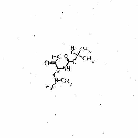 CN(C)C[C@H](NC(=O)OC(C)(C)C)C(=O)O